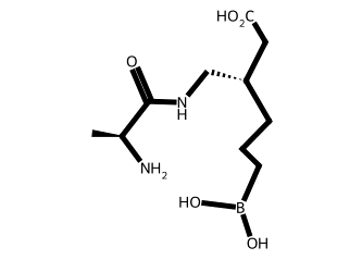 C[C@H](N)C(=O)NC[C@@H](CCCB(O)O)CC(=O)O